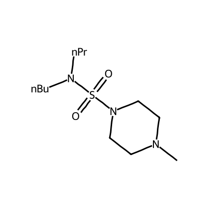 CCCCN(CCC)S(=O)(=O)N1CCN(C)CC1